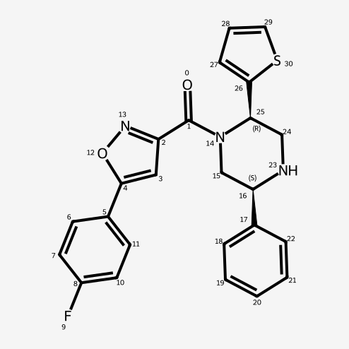 O=C(c1cc(-c2ccc(F)cc2)on1)N1C[C@H](c2ccccc2)NC[C@@H]1c1cccs1